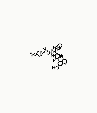 C#Cc1cccc2cc(O)cc(-c3c(F)cc4c(N5CC6CCC(C5)N6)nc(OCC5(CN6CCC7(CC6)CC(F)(F)C7)CC5)nc4c3F)c12